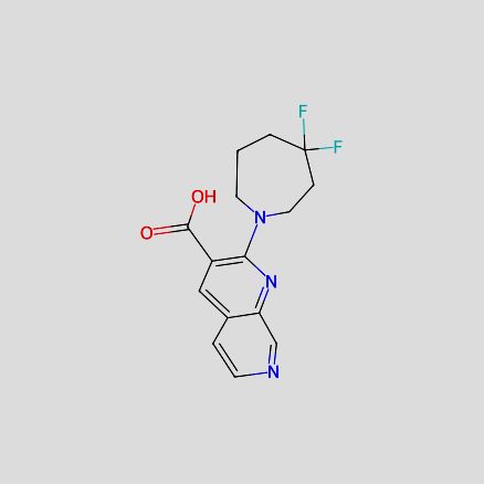 O=C(O)c1cc2ccncc2nc1N1CCCC(F)(F)CC1